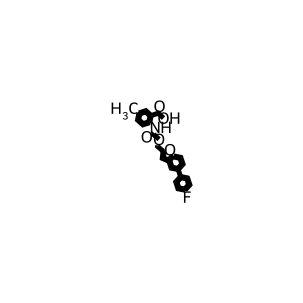 Cc1ccc(NC(=O)OCc2cc3cc(-c4ccc(F)cc4)ccc3o2)c(C(=O)O)c1